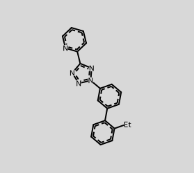 CCc1ccccc1-c1cccc(-n2nnc(-c3ccccn3)n2)c1